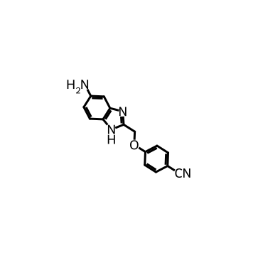 N#Cc1ccc(OCc2nc3cc(N)ccc3[nH]2)cc1